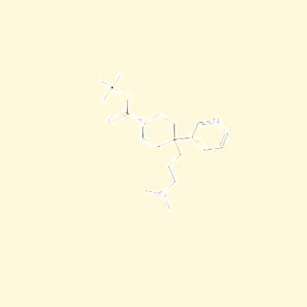 CN(C)CCCC1(c2cccnc2)CCN(C(=O)OC(C)(C)C)CC1